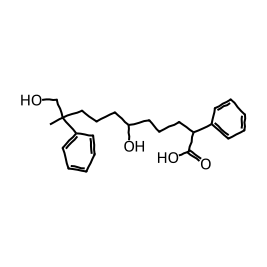 CC(CO)(CCCC(O)CCCC(C(=O)O)c1ccccc1)c1ccccc1